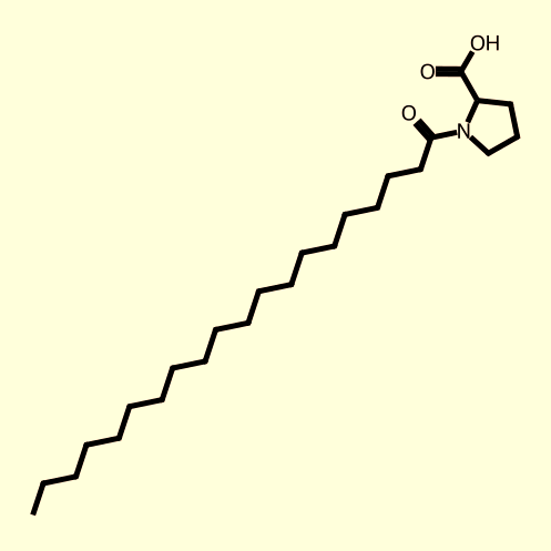 CCCCCCCCCCCCCCCCCCCC(=O)N1CCCC1C(=O)O